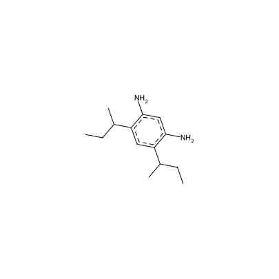 CCC(C)c1cc(C(C)CC)c(N)cc1N